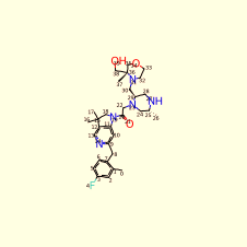 Cc1cc(F)ccc1Cc1cc2c(cn1)C(C)(C)CN2C(=O)CN1C[C@@H](C)NC[C@@H]1CN1CCOC[C@@]1(C)CO